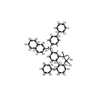 CC1(C)c2cc(N(c3ccc(-c4ccccc4)cc3)c3ccc4ccccc4c3)ccc2-c2c(-c3ccccc3)cccc2C1(C)C